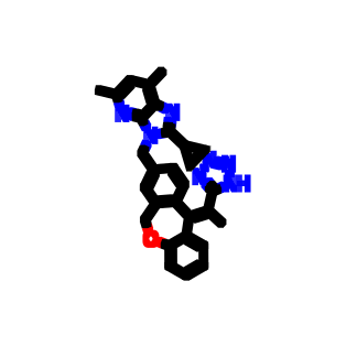 CC(=C1c2ccc(Cn3c(C4CC4)nc4c(C)cc(C)nc43)cc2COc2ccccc21)c1nnn[nH]1